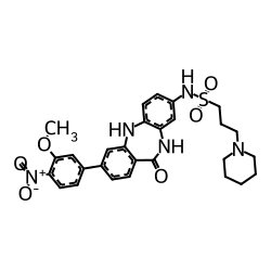 COc1cc(-c2ccc3c(c2)Nc2ccc(NS(=O)(=O)CCCN4CCCCC4)cc2NC3=O)ccc1[N+](=O)[O-]